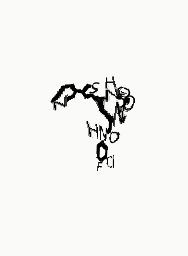 CN1C(C(=O)Nc2ccc(F)c(Cl)c2)CC(c2cc(-c3cccnc3)cs2)NS1(=O)=O